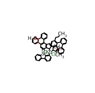 CCCc1ccc2c(c1-c1ccccc1-c1ccccc1)C=C(C)[CH]2[Zr]([Cl])([Cl])([c]1cccc2c1[SiH2]c1ccccc1-2)[CH]1C(C)=Cc2c1ccc(CCC)c2-c1ccccc1-c1ccccc1